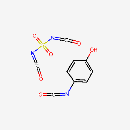 O=C=NS(=O)(=O)N=C=O.O=C=Nc1ccc(O)cc1